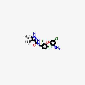 Bc1c(C(=O)NCc2ccc(Cl)c(Oc3cc(N)cc(Cl)c3)c2F)n[nH]c1C